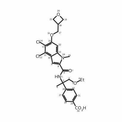 CCOCC(C)(NC(=O)c1cc2c(Cl)c(Cl)c(OCC3COC3)cc2n1C)c1ccc(C(=O)O)cc1